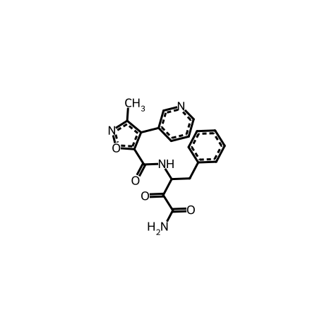 Cc1noc(C(=O)NC(Cc2ccccc2)C(=O)C(N)=O)c1-c1cccnc1